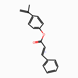 C=C(C)c1ccc(OC(=O)/C=C/c2ccccc2)cc1